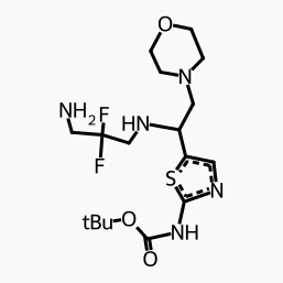 CC(C)(C)OC(=O)Nc1ncc(C(CN2CCOCC2)NCC(F)(F)CN)s1